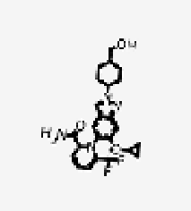 NC(=O)C1C=CC=C(C(F)(F)F)N1c1cc2cn(C3CCC(CO)CC3)nc2cc1OC1CC1